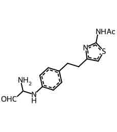 CC(=O)Nc1nc(CCc2ccc(NC(N)C=O)cc2)cs1